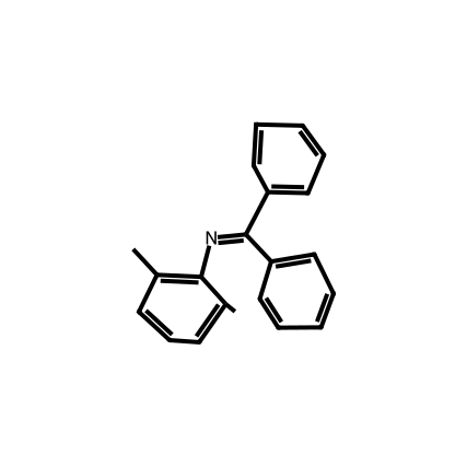 Cc1cccc(C)c1N=C(c1ccccc1)c1ccccc1